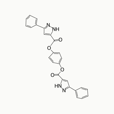 O=C(Oc1ccc(OC(=O)c2cc(-c3ccccc3)n[nH]2)cc1)c1cc(-c2ccccc2)n[nH]1